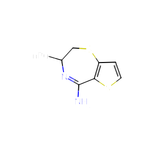 CCCCC1CSc2ccsc2C(N)=N1